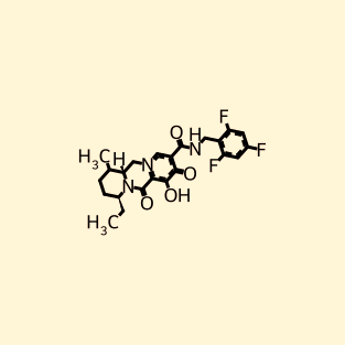 CC[C@H]1CCC(C)[C@@H]2Cn3cc(C(=O)NCc4c(F)cc(F)cc4F)c(=O)c(O)c3C(=O)N12